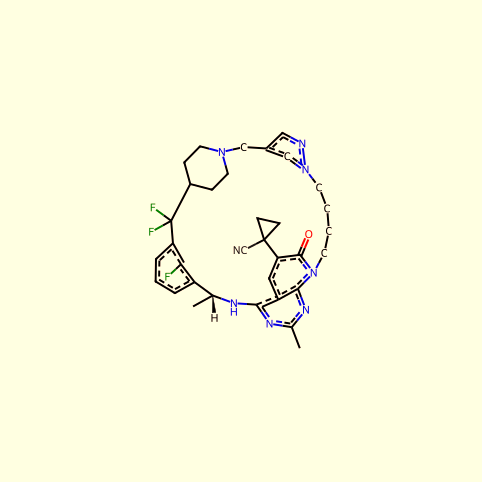 Cc1nc2c3cc(C4(C#N)CC4)c(=O)n(c3n1)CCCCn1cc(cn1)CN1CCC(CC1)C(F)(F)c1cccc(c1F)[C@@H](C)N2